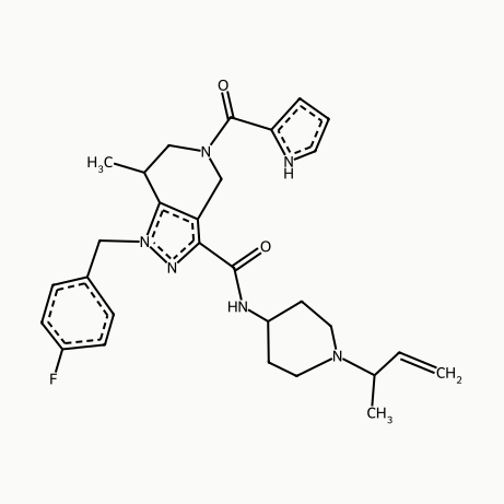 C=CC(C)N1CCC(NC(=O)c2nn(Cc3ccc(F)cc3)c3c2CN(C(=O)c2ccc[nH]2)CC3C)CC1